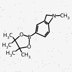 CN1Cc2cc(B3OC(C)(C)C(C)(C)O3)ccc21